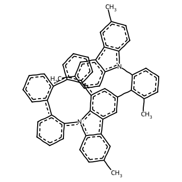 Cc1ccc2c(c1)c1cc(C)ccc1n2-c1cccc(C)c1-c1cc2c3ccccc3c3ccccc3c3ccccc3n3c4ccc(C)cc4c(c1)c23